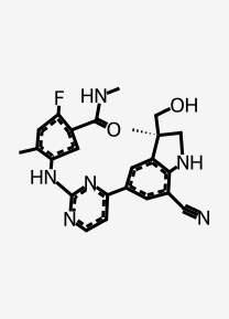 CNC(=O)c1cc(Nc2nccc(-c3cc(C#N)c4c(c3)[C@@](C)(CO)CN4)n2)c(C)cc1F